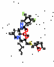 CCCC[C@H](NC(=O)[C@H](CC(C)C)NC(=O)c1cc(F)cc(F)c1)C(=O)CSCc1ccco1